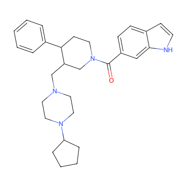 O=C(c1ccc2cc[nH]c2c1)N1CCC(c2ccccc2)C(CN2CCN(C3CCCC3)CC2)C1